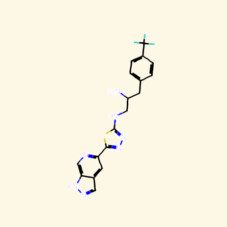 NC(CNc1nnc(-c2cc3cn[nH]c3cn2)s1)Cc1ccc(C(F)(F)F)cc1